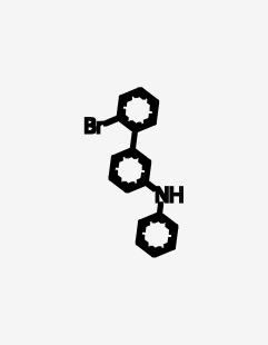 Brc1ccccc1-c1cccc(Nc2ccccc2)c1